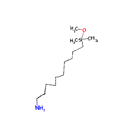 CO[Si](C)(C)CCCCCCCCCCN